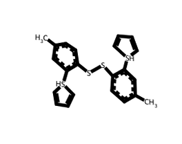 Cc1ccc(SSc2ccc(C)cc2[SH]2C=CC=C2)c([SH]2C=CC=C2)c1